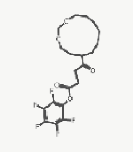 O=C(CCC(=O)C1CCCCCCCCCCC1)Oc1c(F)c(F)c(F)c(F)c1F